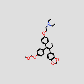 CCC(=C(c1ccc(OCCN(CC)CC)cc1)c1ccc(OCOC)cc1)c1ccc2c(c1)OCO2